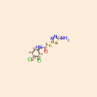 Nc1nnc(SCC(=O)Nc2ccc(Cl)c(Cl)c2)s1